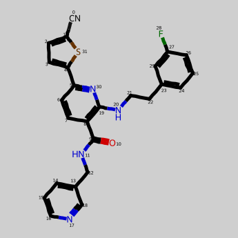 N#Cc1ccc(-c2ccc(C(=O)NCc3cccnc3)c(NCCc3cccc(F)c3)n2)s1